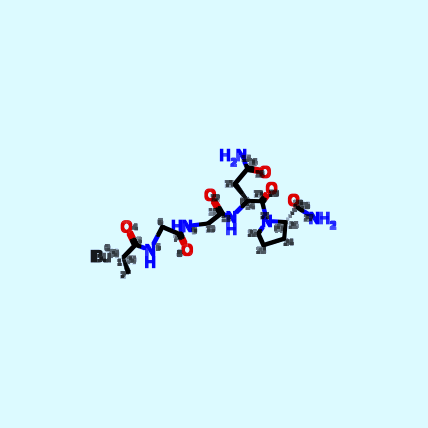 CC[C@H](C)[C@H](C)C(=O)NCC(=O)NCC(=O)N[C@@H](CC(N)=O)C(=O)N1CCC[C@H]1C(N)=O